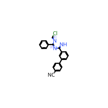 N#Cc1ccc(-c2cccc(C(=N)/N=C(\N=C\Cl)c3ccccc3)c2)cc1